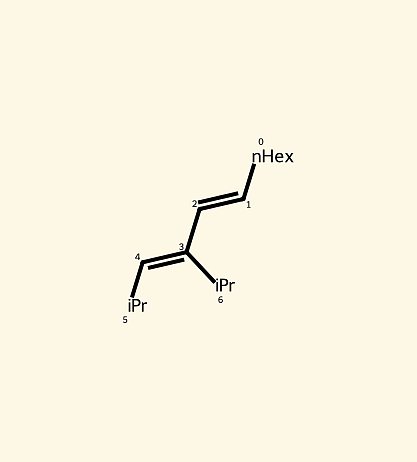 CCCCCC/C=C/C(=C/C(C)C)C(C)C